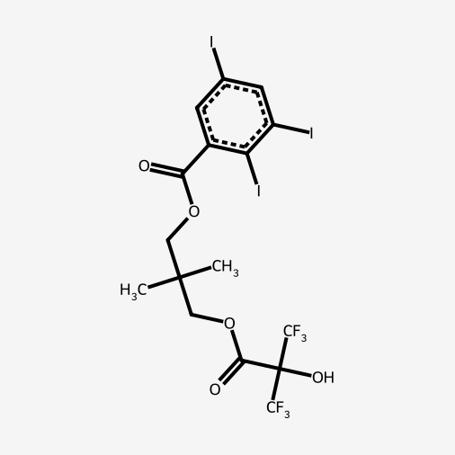 CC(C)(COC(=O)c1cc(I)cc(I)c1I)COC(=O)C(O)(C(F)(F)F)C(F)(F)F